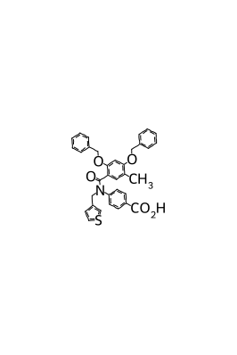 Cc1cc(C(=O)N(Cc2ccsc2)c2ccc(C(=O)O)cc2)c(OCc2ccccc2)cc1OCc1ccccc1